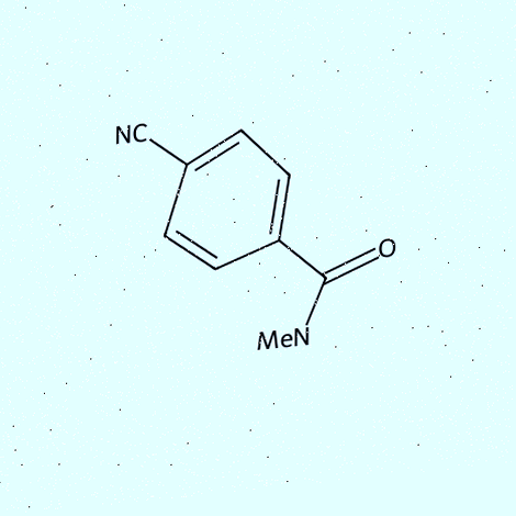 CNC(=O)c1ccc(C#N)cc1